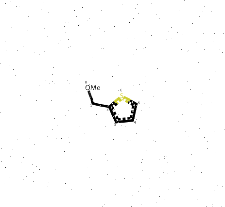 [CH2-][OH+]Cc1cccs1